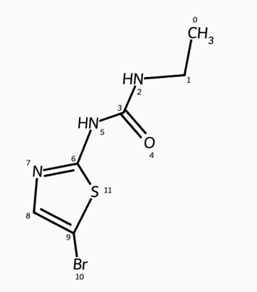 CCNC(=O)Nc1ncc(Br)s1